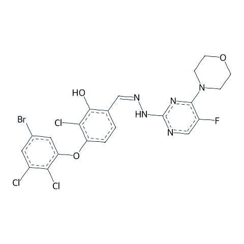 Oc1c(/C=N\Nc2ncc(F)c(N3CCOCC3)n2)ccc(Oc2cc(Br)cc(Cl)c2Cl)c1Cl